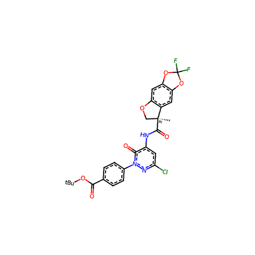 CC(C)(C)OC(=O)c1ccc(-n2nc(Cl)cc(NC(=O)[C@@]3(C)COc4cc5c(cc43)OC(F)(F)O5)c2=O)cc1